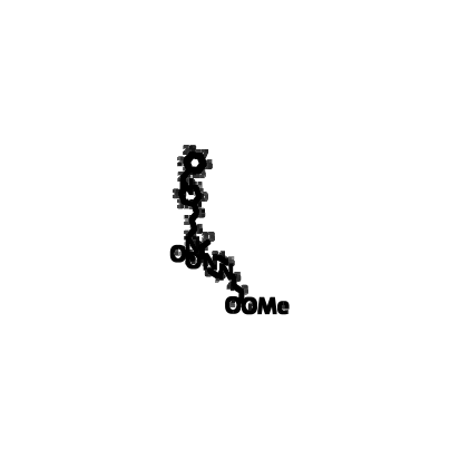 COC(=O)CCCN1CCN(C2OC(=O)N(CCCCC3CCN(Cc4ccccc4)CC3)C2C)CC1